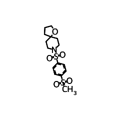 CS(=O)(=O)c1ccc(S(=O)(=O)N2CCC3(CCCO3)CC2)cc1